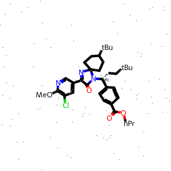 CCCOC(=O)c1ccc([C@@H](CCC(C)(C)C)N2C(=O)C(c3cnc(OC)c(Cl)c3)=NC23CCC(C(C)(C)C)CC3)cc1